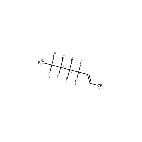 FC(F)(F)C=CC(F)(F)C(F)(F)C(F)(F)C(F)(F)C(F)(F)F